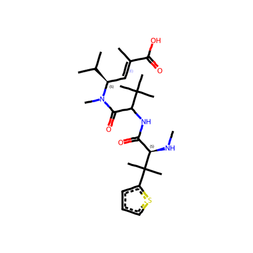 CN[C@H](C(=O)NC(C(=O)N(C)[C@H](/C=C(\C)C(=O)O)C(C)C)C(C)(C)C)C(C)(C)c1cccs1